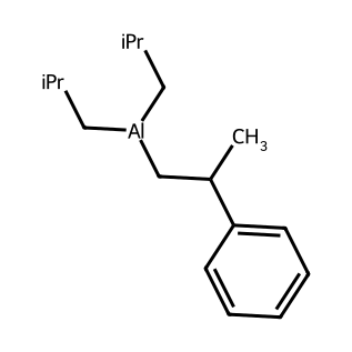 CC(C)[CH2][Al]([CH2]C(C)C)[CH2]C(C)c1ccccc1